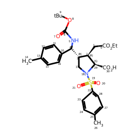 CCOC(=O)C[C@@H]1[C@@H](C(NC(=O)OC(C)(C)C)c2ccc(C)cc2)CN(S(=O)(=O)c2ccc(C)cc2)[C@@H]1C(=O)O